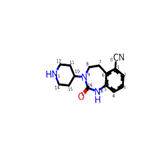 N#Cc1cccc2c1CCN(C1CCNCC1)C(=O)N2